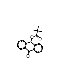 CC(C)(C)C(=O)OC1c2ccccc2C(=O)c2ccccc21